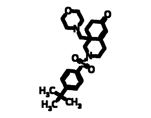 CC(C)(C)c1ccc(S(=O)(=O)N2CCC3=CC(=O)CCC3(CN3CCOCC3)C2)cc1